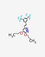 CCCCOc1cc(/C=C/c2cc(C(F)(F)F)cc(C(F)(F)F)c2)nnc1OCCCC